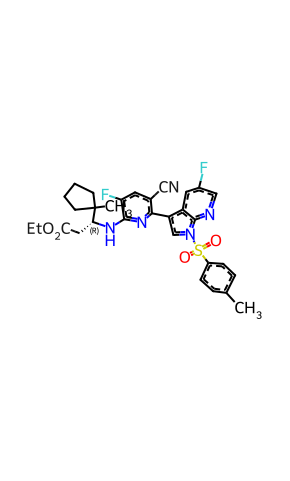 CCOC(=O)C[C@@H](Nc1nc(-c2cn(S(=O)(=O)c3ccc(C)cc3)c3ncc(F)cc23)c(C#N)cc1F)C1(C)CCCC1